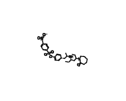 CCC(CC(CC)N1CCCCCC1=O)NC(C)Cc1ccc(OS(=O)(=O)c2ccc([N+](=O)[O-])cc2)cc1